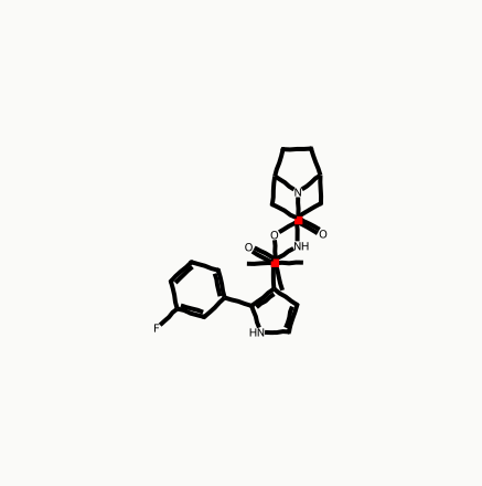 CC(C)(C)OC(=O)N1C2CCC1CC(NC(=O)c1cc[nH]c1-c1cccc(F)c1)C2